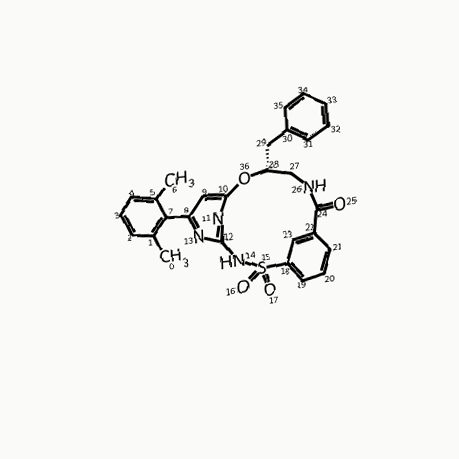 Cc1cccc(C)c1-c1cc2nc(n1)NS(=O)(=O)c1cccc(c1)C(=O)NC[C@@H](Cc1ccccc1)O2